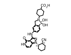 N#C[C@H]1CCCC[C@@H]1n1nc(Nc2ccc3c(c2)CN(C2CCC(C(=O)O)CC2)S3(O)O)c2c(=O)[nH]ccc21